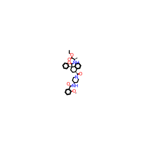 CCOC(=O)[C@@H](C)NC(=O)[C@@]1(c2ccccc2)CC[C@H](C(=O)N2CCC(NC(=O)c3ccccc3OC)CC2)c2ccccc21